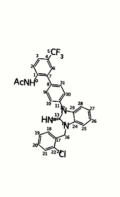 CC(=O)Nc1ccc(C(F)(F)F)cc1-c1ccc(-n2c(=N)n(Cc3ccccc3Cl)c3ccccc32)cc1